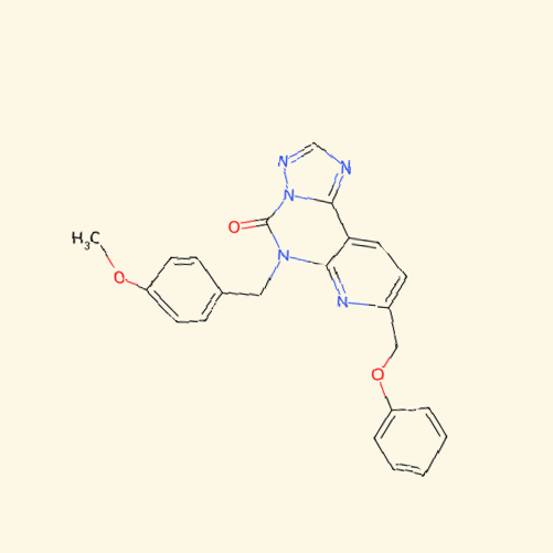 COc1ccc(Cn2c(=O)n3ncnc3c3ccc(COc4ccccc4)nc32)cc1